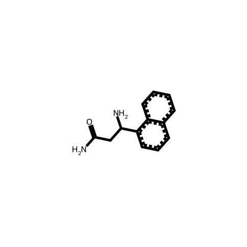 NC(=O)CC(N)c1cccc2ccccc12